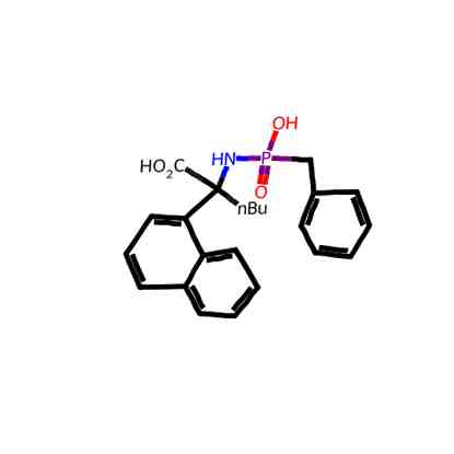 CCCCC(NP(=O)(O)Cc1ccccc1)(C(=O)O)c1cccc2ccccc12